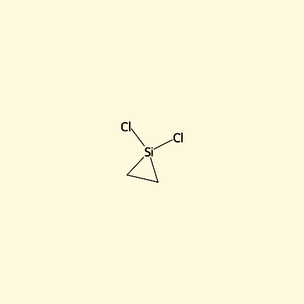 Cl[Si]1(Cl)CC1